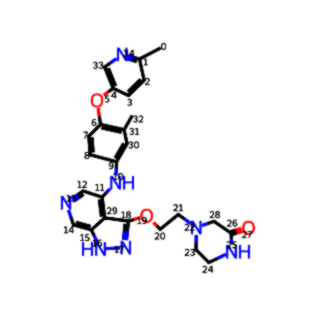 Cc1ccc(Oc2ccc(Nc3cncc4[nH]nc(OCCN5CCNC(=O)C5)c34)cc2C)cn1